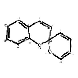 C1=COC2(C=C1)C=Cc1ccccc1O2